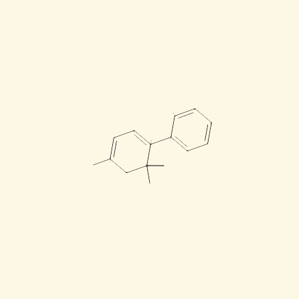 OC1(F)CC(F)=CC=C1c1ccccc1